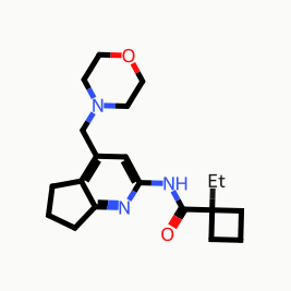 CCC1(C(=O)Nc2cc(CN3CCOCC3)c3c(n2)CCC3)CCC1